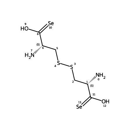 N[C@@H](CSSC[C@H](N)C(O)=[Se])C(O)=[Se]